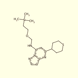 C[Si](C)(C)CCOCNc1cc(C2CCSCC2)nc2ccnn12